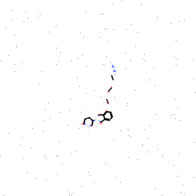 [N-]=[N+]=NCCOCCOCCOc1cccc2c1C(=O)N(C1CCC(=O)NC1=O)C2=O